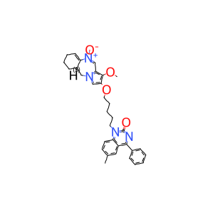 COc1c(OCCCCCn2c(=O)nc(-c3ccccc3)c3cc(C)ccc32)cn2c1C=[N+]([O-])C1=CCCC[C@H]1C2